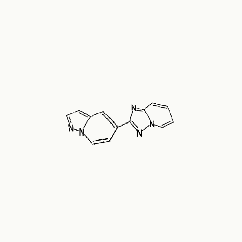 c1ccn2nc(-c3ccn4nccc4c3)nc2c1